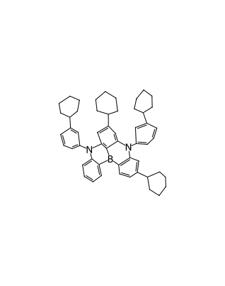 c1cc(C2CCCCC2)cc(N2c3ccccc3B3c4ccc(C5CCCCC5)cc4N(c4cccc(C5CCCCC5)c4)c4cc(C5CCCCC5)cc2c43)c1